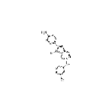 CCc1cccc(Nc2ncc3nc(-c4ccc(N)nc4)n(CC)c3n2)c1